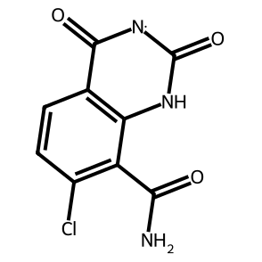 NC(=O)c1c(Cl)ccc2c1NC(=O)[N]C2=O